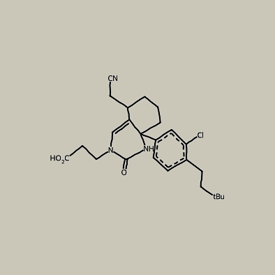 CC(C)(C)CCc1ccc(C23CCCC(CC#N)C2=CN(CCC(=O)O)C(=O)N3)cc1Cl